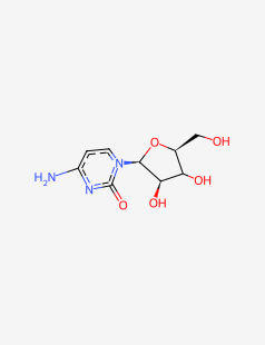 Nc1ccn([C@H]2O[C@@H](CO)C(O)[C@H]2O)c(=O)n1